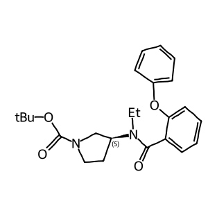 CCN(C(=O)c1ccccc1Oc1ccccc1)[C@H]1CCN(C(=O)OC(C)(C)C)C1